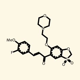 COc1ccc(/C=C/C(=O)c2cc3c(cc2OCCN2CCOCC2)OCS3(=O)=O)cc1F